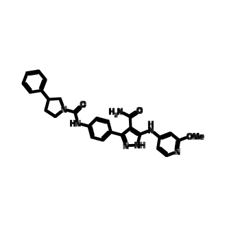 COc1cc(Nc2[nH]nc(-c3ccc(NC(=O)N4CCC(c5ccccc5)C4)cc3)c2C(N)=O)ccn1